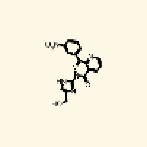 O=c1c2cccnc2c(-c2cccc([N+](=O)[O-])c2)nn1-c1nc(CO)c[nH]1